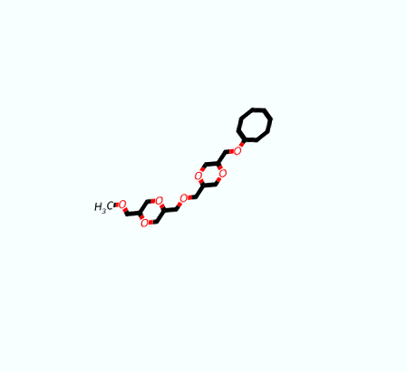 COCC1COC(COCC2COC(COC3CCCCCCC3)CO2)CO1